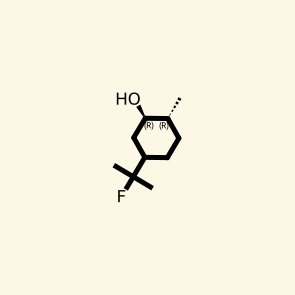 C[C@@H]1CCC(C(C)(C)F)C[C@H]1O